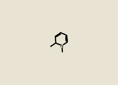 CC1C=CC=CN1C